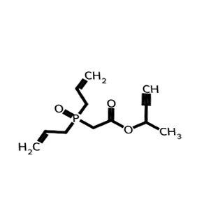 C#CC(C)OC(=O)CP(=O)(CC=C)CC=C